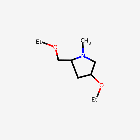 CCOCC1CC(OCC)CN1C